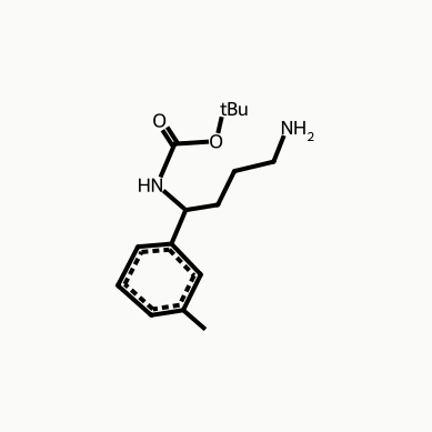 Cc1cccc(C(CCCN)NC(=O)OC(C)(C)C)c1